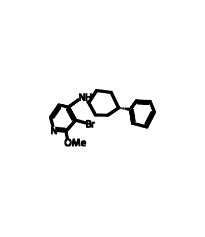 COc1nccc(N[C@H]2CC[C@@H](c3ccccc3)CC2)c1Br